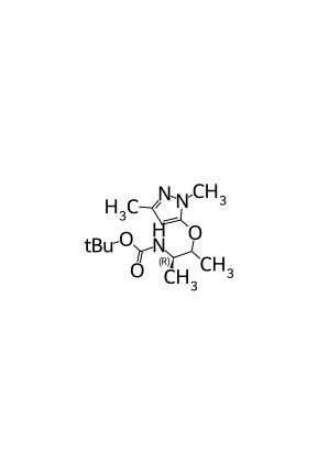 Cc1cc(OC(C)[C@@H](C)NC(=O)OC(C)(C)C)n(C)n1